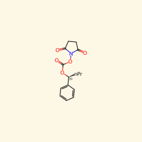 CCC[C@H](OC(=O)ON1C(=O)CCC1=O)c1ccccc1